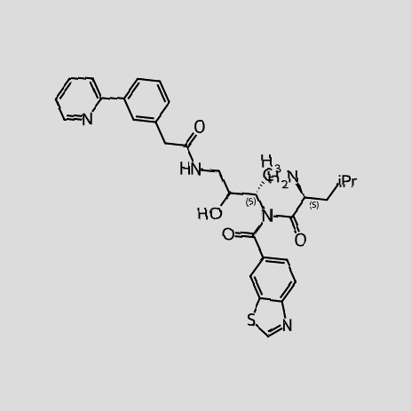 CC(C)C[C@H](N)C(=O)N(C(=O)c1ccc2ncsc2c1)[C@@H](C)C(O)CNC(=O)Cc1cccc(-c2ccccn2)c1